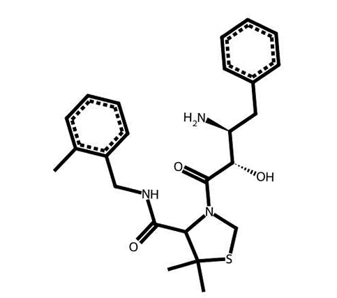 Cc1ccccc1CNC(=O)C1N(C(=O)[C@@H](O)[C@@H](N)Cc2ccccc2)CSC1(C)C